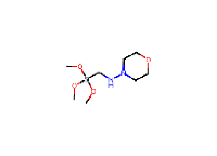 CO[Si](CNN1CCOCC1)(OC)OC